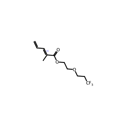 C=C/C=C(\C)C(=O)OCCOCCC(F)(F)F